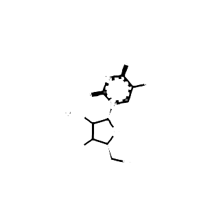 COC1C(O)[C@H](CO)O[C@@H]1n1cc(C(F)(F)F)c(=O)[nH]c1=O